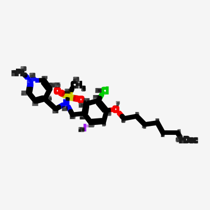 CCCCCCCCCCCCCCCCOc1ccc(CN(Cc2cc[n+](CCC)cc2)S(C)(=O)=O)cc1Cl.[I-]